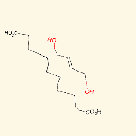 O=C(O)CCCCCCCCC(=O)O.OCC=CCO